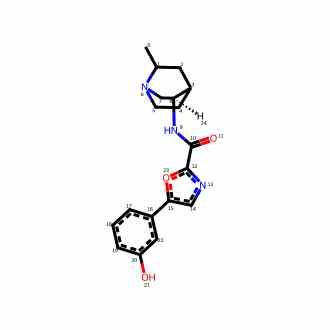 CC1CC2CCN1C[C@@H]2NC(=O)c1ncc(-c2cccc(O)c2)o1